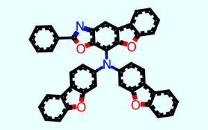 c1ccc(-c2nc3cc4c(oc5ccccc54)c(N(c4ccc5c(c4)oc4ccccc45)c4ccc5c(c4)oc4ccccc45)c3o2)cc1